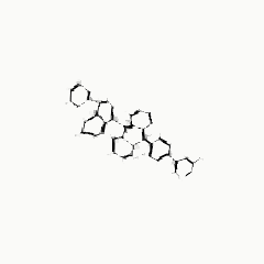 Cc1cncc(-c2ccc(C3=c4ccccc4=C(c4ccc(C5=CC=CCC5)c5ccccc45)C4C=CC=CC34)cc2)c1